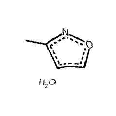 Cc1ccon1.O